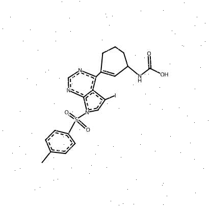 Cc1ccc(S(=O)(=O)n2cc(I)c3c(C4=CC(NC(=O)O)CCC4)ncnc32)cc1